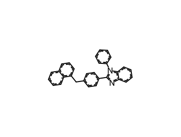 c1ccc(-n2c(-c3ccc(Cc4cccc5ccccc45)cc3)nc3ccccc32)cc1